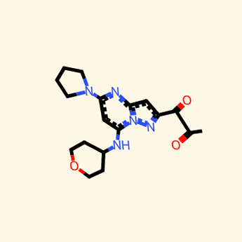 CC(=O)C(=O)c1cc2nc(N3CCCC3)cc(NC3CCOCC3)n2n1